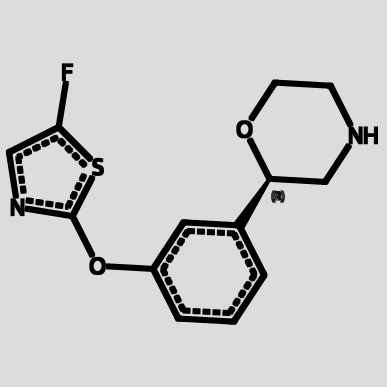 Fc1cnc(Oc2cccc([C@@H]3CNCCO3)c2)s1